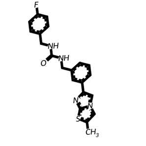 Cc1cn2cc(-c3cccc(CNC(=O)NCc4ccc(F)cc4)c3)nc2s1